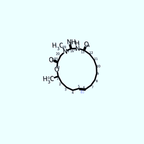 CC1CCC/C=C/CCCCCCC(=O)NC(=N)N(C)CC(=O)O1